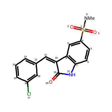 CNS(=O)(=O)c1ccc2c(c1)C(=Cc1cccc(Cl)c1)C(=O)N2